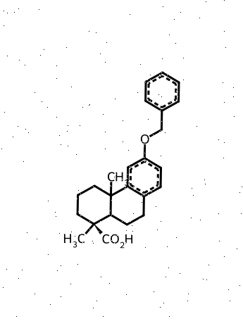 CC12CCC[C@](C)(C(=O)O)C1CCc1ccc(OCc3ccccc3)cc12